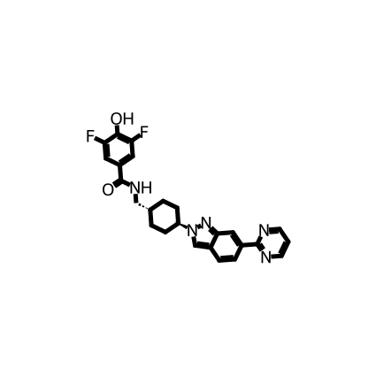 O=C(NC[C@H]1CC[C@H](n2cc3ccc(-c4ncccn4)cc3n2)CC1)c1cc(F)c(O)c(F)c1